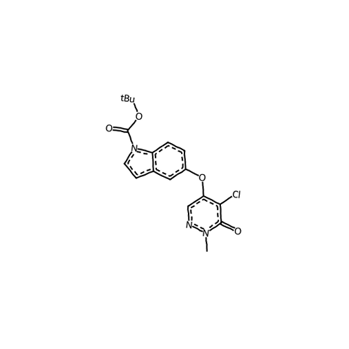 Cn1ncc(Oc2ccc3c(ccn3C(=O)OC(C)(C)C)c2)c(Cl)c1=O